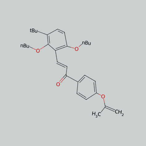 C=C(C)Oc1ccc(C(=O)C=Cc2c(OCCCC)ccc(C(C)(C)C)c2OCCCC)cc1